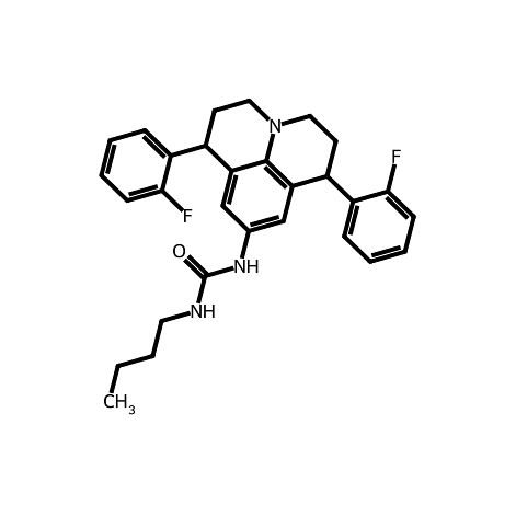 CCCCNC(=O)Nc1cc2c3c(c1)C(c1ccccc1F)CCN3CCC2c1ccccc1F